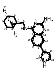 Nc1nc(NCC2C[C@H]3CC[C@@H]2CC3)c2ccc(-c3cc[nH]n3)cc2n1